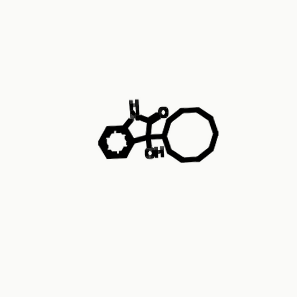 O=C1Nc2ccccc2C1(O)C1CCCCCCCCC1